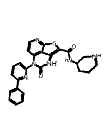 O=C(NC1CCCNC1)c1sc2nccc3c2c1NC(=O)N3c1cccc(-c2ccccc2)n1